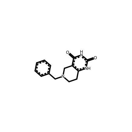 O=c1[nH]c2c(c(=O)[nH]1)CN(Cc1ccccc1)CC2